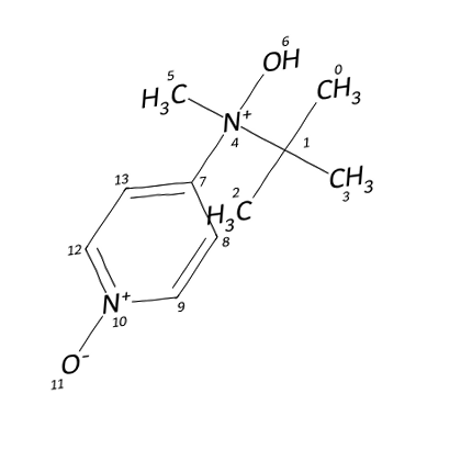 CC(C)(C)[N+](C)(O)c1cc[n+]([O-])cc1